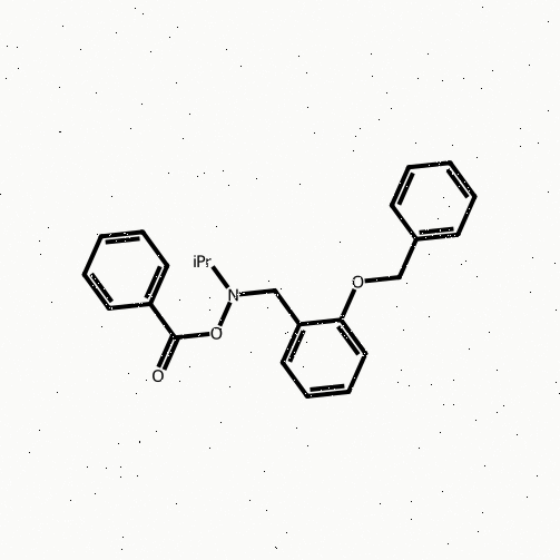 CC(C)N(Cc1ccccc1OCc1ccccc1)OC(=O)c1ccccc1